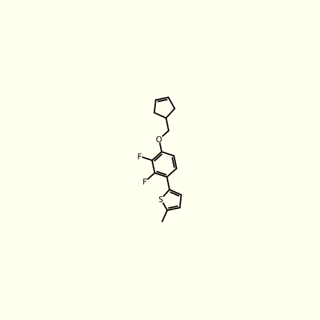 Cc1ccc(-c2ccc(OCC3CC=CC3)c(F)c2F)s1